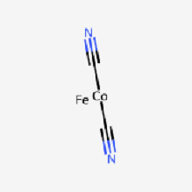 N#[C][Co][C]#N.[Fe]